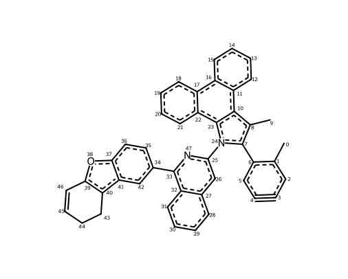 Cc1cc#ccc1-c1c(C)c2c3ccccc3c3ccccc3c2n1-c1cc2ccccc2c(-c2ccc3oc4c(c3c2)CCC=C4)n1